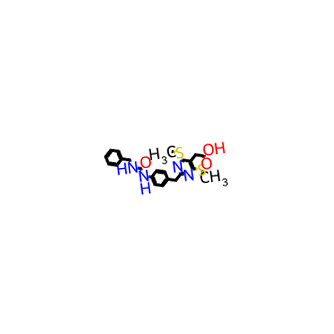 CSc1nc(Cc2ccc(NC(=O)NCc3ccccc3)cc2)nc(SC)c1CC(=O)O